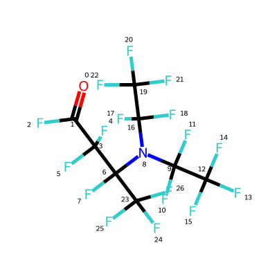 O=C(F)C(F)(F)C(F)(N(C(F)(F)C(F)(F)F)C(F)(F)C(F)(F)F)C(F)(F)F